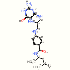 CCC(CC(NC(=O)c1ccc(NCC2CNc3nc(N)[nH]c(=O)c3N2)cc1)C(=O)O)C(=O)O